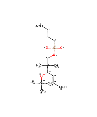 CC(=O)NCCCS(=O)(=O)OCC(C)(C)[C@H](C=CC(=O)O)O[Si](C)(C)C(C)(C)C